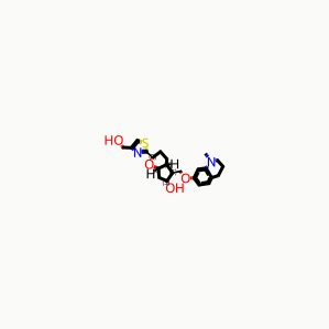 CN1CCCc2ccc(OC[C@@H]3[C@H]4CC[C@H](c5nc(CO)cs5)O[C@H]4C[C@@H]3O)cc21